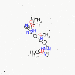 CC1Oc2cc(-c3cnc([C@@H]4C5CCC(CC5)N4C(=O)OC(C)(C)C)[nH]3)ccc2-c2cc3cc(C4CN=C([C@@H]5CCCN5C(=O)OC(C)(C)C)N4)ccc3n21